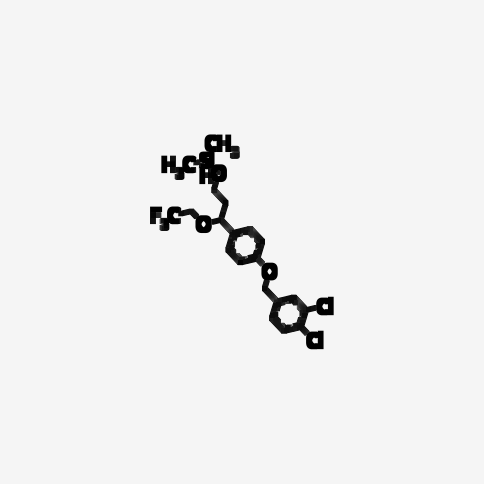 C[SiH](C)OCCC(OCC(F)(F)F)c1ccc(OCc2ccc(Cl)c(Cl)c2)cc1